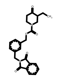 CCC1CN(C(=O)OCc2cccc(CN3C(=O)c4ccccc4C3=O)c2)CCC1=O